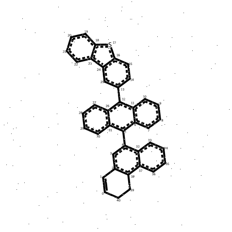 C1=Cc2cc(-c3c4ccccc4c(-c4ccc5sc6ccccc6c5c4)c4ccccc34)c3ccccc3c2CC1